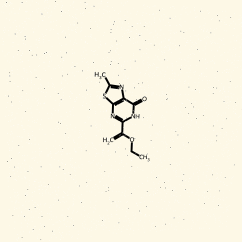 C=C(OCC)c1nc2sc(C)nc2c(=O)[nH]1